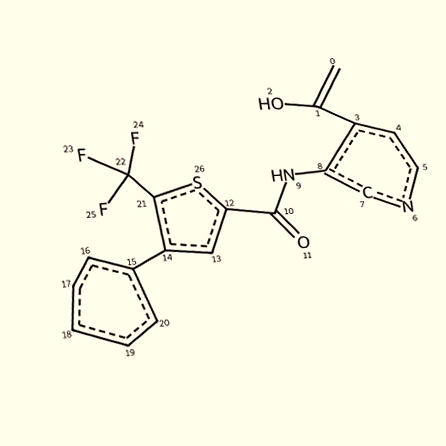 C=C(O)c1ccncc1NC(=O)c1cc(-c2ccccc2)c(C(F)(F)F)s1